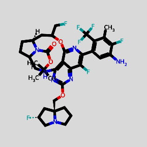 Cc1c(F)c(N)cc(-c2nc3c4c(nc(OC[C@@]56CCCN5C[C@H](F)C6)nc4c2F)NC[C@H]2CC[C@@H](CC(CF)O3)N2C(=O)OC(C)(C)C)c1C(F)(F)F